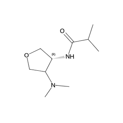 CC(C)C(=O)N[C@H]1COCC1N(C)C